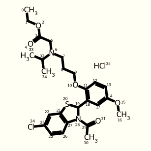 CCOC(=O)CN(CCCOc1ccc(OC)cc1C1Sc2cc(Cl)ccc2N1C(C)=O)C(C)C.Cl